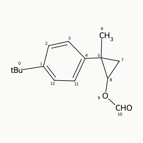 CC(C)(C)c1ccc(C2(C)CC2OC=O)cc1